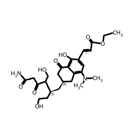 CCOC(=O)/C=C/c1cc(N(C)C)c2c(c1O)C(=O)C[C@H](C[C@@H](CCO)C(CO)C(=O)CC(N)=O)C2